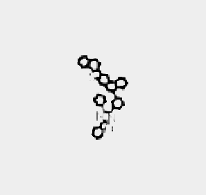 c1ccc(-c2nc3c(nc2-c2cccc(-c4cc5cc6sc7c8ccccc8ccc7c6cc5c5ccccc45)c2)oc2ccccc23)cc1